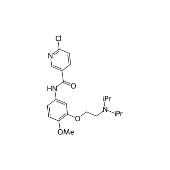 COc1ccc(NC(=O)c2ccc(Cl)nc2)cc1OCCN(C(C)C)C(C)C